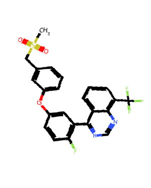 CS(=O)(=O)Cc1cccc(Oc2ccc(F)c(-c3ncnc4c(C(F)(F)F)cccc34)c2)c1